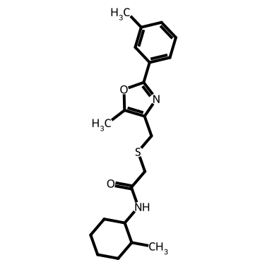 Cc1cccc(-c2nc(CSCC(=O)NC3CCCCC3C)c(C)o2)c1